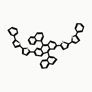 c1ccc(-c2ccc(-c3ccc(-c4ccc5c(-c6cccc7ccccc67)c6cc(-c7ccc(-c8ccc(-c9ccccc9)s8)s7)ccc6c(-c6cccc7ccccc67)c5c4)s3)s2)cc1